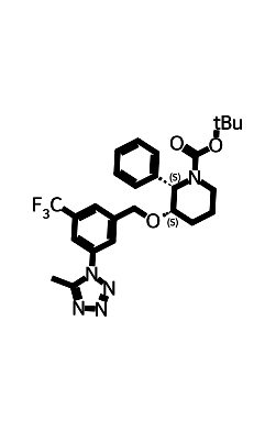 Cc1nnnn1-c1cc(CO[C@H]2CCCN(C(=O)OC(C)(C)C)[C@H]2c2ccccc2)cc(C(F)(F)F)c1